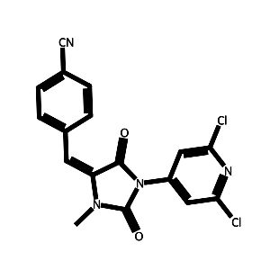 CN1C(=O)N(c2cc(Cl)nc(Cl)c2)C(=O)C1=Cc1ccc(C#N)cc1